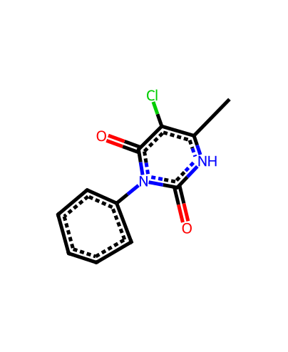 Cc1[nH]c(=O)n(-c2ccccc2)c(=O)c1Cl